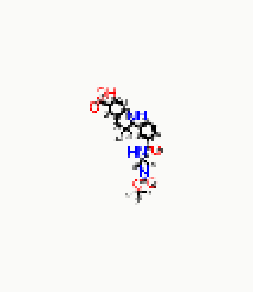 CC(C)(C)OC(=O)N1CC(NC(=O)c2cccc(C3Nc4ccc(C(=O)O)cc4CC3(C)C)c2)C1